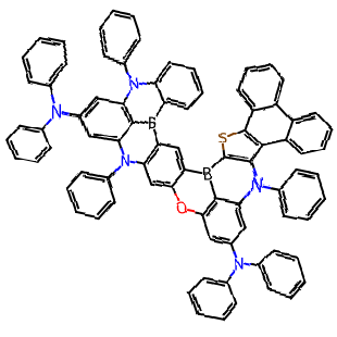 c1ccc(N(c2ccccc2)c2cc3c4c(c2)N(c2ccccc2)c2c(sc5c6ccccc6c6ccccc6c25)B4c2cc4c(cc2O3)N(c2ccccc2)c2cc(N(c3ccccc3)c3ccccc3)cc3c2B4c2ccccc2N3c2ccccc2)cc1